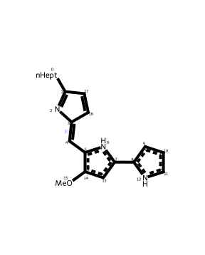 CCCCCCCC1=N/C(=C/c2[nH]c(-c3ccc[nH]3)cc2OC)C=C1